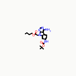 CCCCOC(=O)Cn1c2cc(NC(=O)OC(C)(C)C)ccc2c2c(N)ncnc21